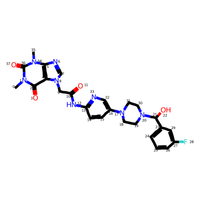 Cn1c(=O)c2c(ncn2CC(=O)Nc2ccc(N3CCN(C(O)c4cccc(F)c4)CC3)cn2)n(C)c1=O